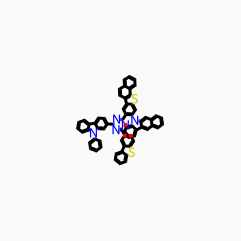 c1ccc(-n2c3ccccc3c3ccc(-c4nc(-c5ccc6sc7ccccc7c6c5)nc(-c5cc6c(cc5-n5c7ccccc7c7cc8ccccc8cc75)sc5c7ccccc7ccc65)n4)cc32)cc1